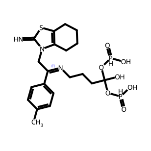 Cc1ccc(/C(Cn2c3c(sc2=N)CCCC3)=N\CCCC(O)(O[PH](=O)O)O[PH](=O)O)cc1